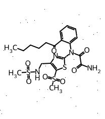 CCCCCC(=O)c1ccccc1N(C(=O)C(N)=O)c1nc(CNS(C)(=O)=O)c(S(C)(=O)=O)s1